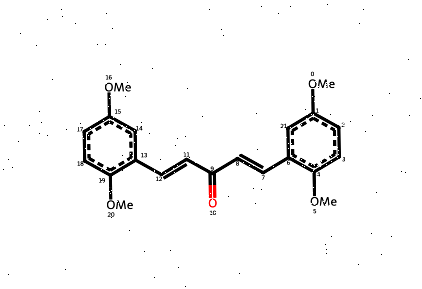 COc1ccc(OC)c(/C=C/C(=O)/C=C/c2cc(OC)ccc2OC)c1